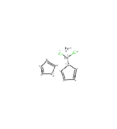 [Cl][Pd-]([Cl])[c-]1cccc1.[Fe+2].c1cc[cH-]c1